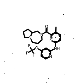 Cc1ccc(Nc2cc(OC(F)(F)F)ccn2)nc1C(=O)N1CCCN2CCCC2C1